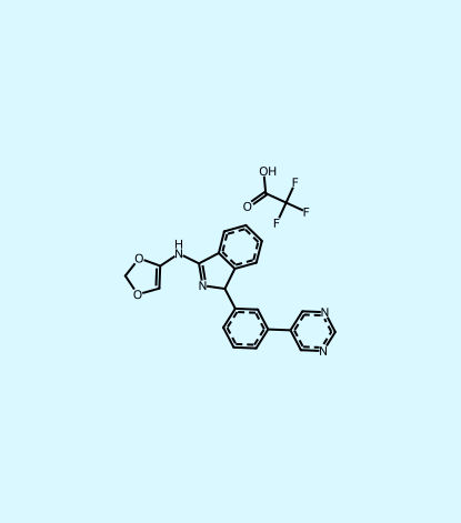 C1=C(NC2=NC(c3cccc(-c4cncnc4)c3)c3ccccc32)OCO1.O=C(O)C(F)(F)F